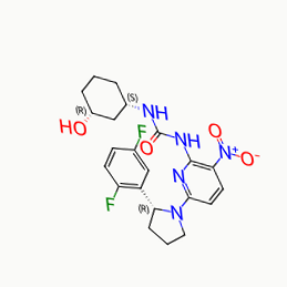 O=C(Nc1nc(N2CCC[C@@H]2c2cc(F)ccc2F)ccc1[N+](=O)[O-])N[C@H]1CCC[C@@H](O)C1